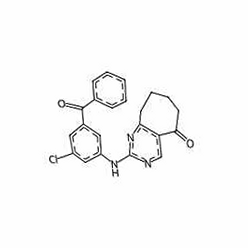 O=C(c1ccccc1)c1cc(Cl)cc(Nc2ncc3c(n2)CCCCC3=O)c1